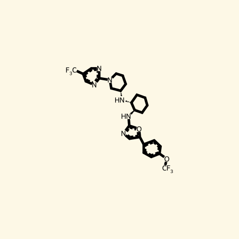 FC(F)(F)Oc1ccc(-c2cnc(N[C@@H]3CCCC[C@H]3N[C@H]3CCCN(c4ncc(C(F)(F)F)cn4)C3)o2)cc1